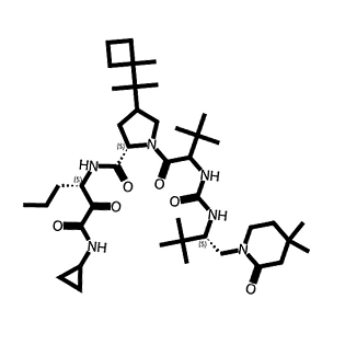 CCC[C@H](NC(=O)[C@@H]1CC(C(C)(C)C2(C)CCC2)CN1C(=O)C(NC(=O)N[C@H](CN1CCC(C)(C)CC1=O)C(C)(C)C)C(C)(C)C)C(=O)C(=O)NC1CC1